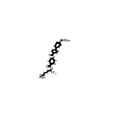 CCCCCCCCCOc1ccc(-c2ccc(C(=O)Oc3ccc(C(=O)OC(CCCCOCCCC)C(F)(F)F)cc3)cc2)cc1